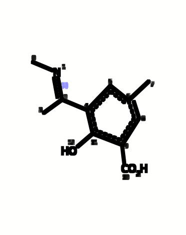 C/N=C(\C)c1cc(C)cc(C(=O)O)c1O